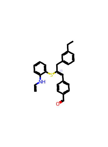 C=CNc1ccccc1S/C(=C\c1ccc(C=O)cc1)Cc1cccc(CC)c1